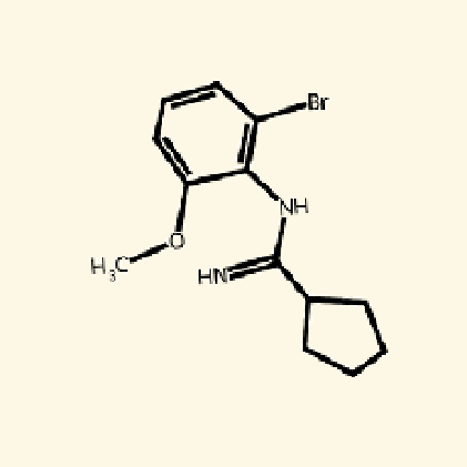 COc1cccc(Br)c1NC(=N)C1CCCC1